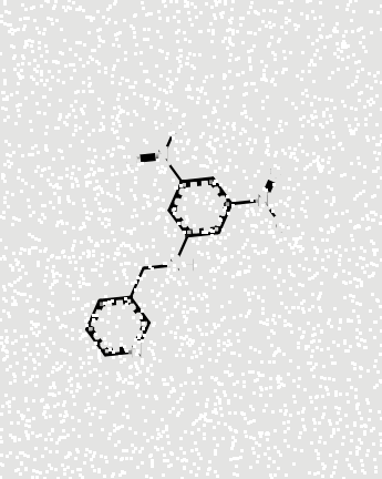 O=[N+]([O-])c1cc(NCc2cccnc2)cc([N+](=O)[O-])c1